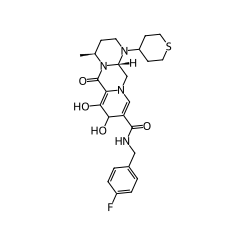 C[C@H]1CCN(C2CCSCC2)[C@@H]2CN3C=C(C(=O)NCc4ccc(F)cc4)C(O)C(O)=C3C(=O)N12